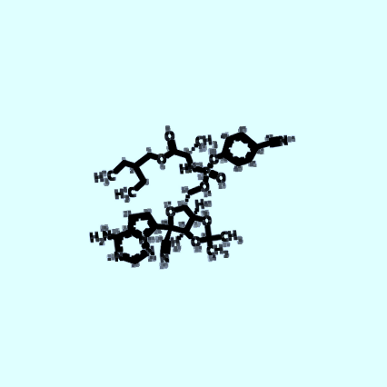 CCC(CC)COC(=O)[C@H](C)NP(=O)(OC[C@H]1O[C@@](C#N)(c2ccc3c(N)ncnn23)[C@@H]2OC(C)(C)O[C@@H]21)Oc1ccc(C#N)cc1